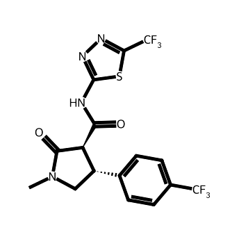 CN1C[C@@H](c2ccc(C(F)(F)F)cc2)[C@H](C(=O)Nc2nnc(C(F)(F)F)s2)C1=O